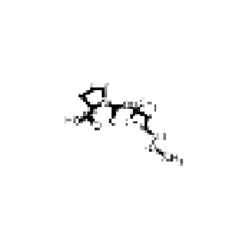 CONCCC(C)(C)OC(=O)N1CCCC1C(=O)O